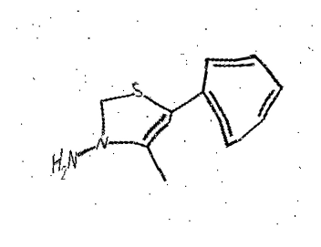 CC1=C(c2ccccc2)SCN1N